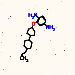 C=CCC1CCC(C2CCC(Oc3cc(N)ccc3N)CC2)CC1